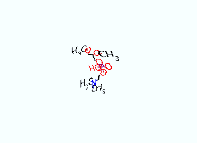 COCC(COP(=O)(O)OCCN(C)C)OC